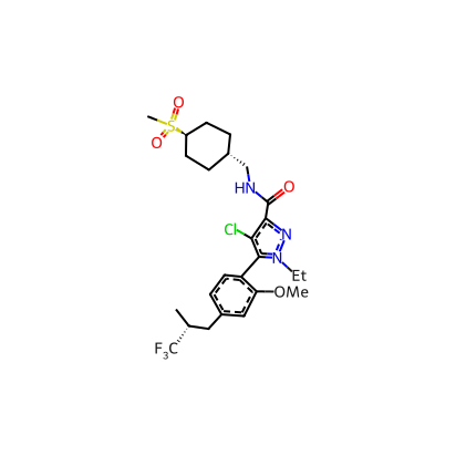 CCn1nc(C(=O)NC[C@H]2CC[C@H](S(C)(=O)=O)CC2)c(Cl)c1-c1ccc(C[C@@H](C)C(F)(F)F)cc1OC